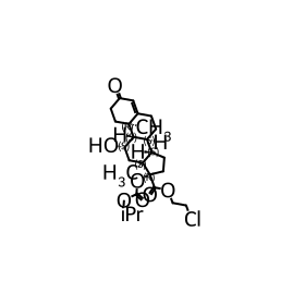 CC(C)OC(=O)O[C@]1(C(=O)OCCCl)CC[C@H]2[C@@H]3CCC4=CC(=O)CC[C@]4(C)[C@H]3[C@@H](O)C[C@@]21C